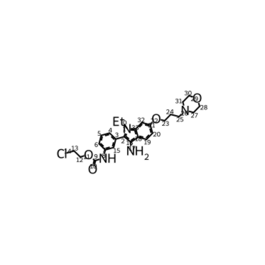 CCn1c(-c2cccc(NC(=O)OCCCl)c2)c(N)c2ccc(OCCCN3CCOCC3)cc21